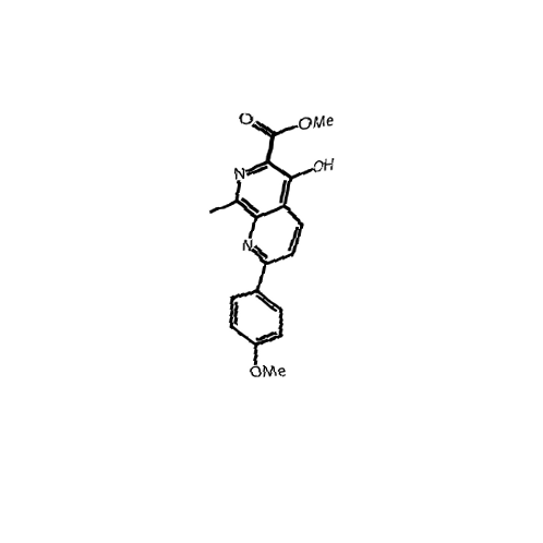 COC(=O)c1nc(C)c2nc(-c3ccc(OC)cc3)ccc2c1O